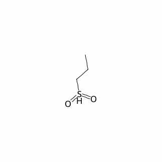 CCC[SH](=O)=O